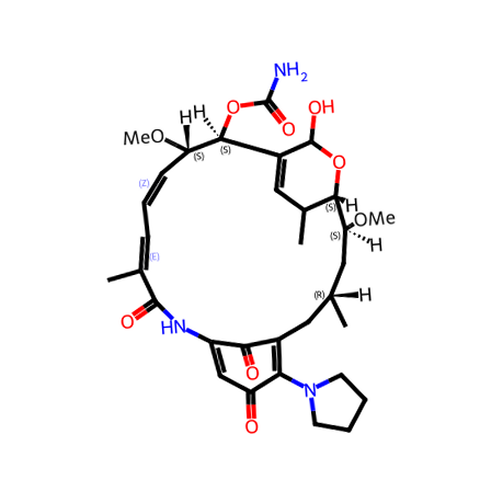 CO[C@H]1/C=C\C=C(/C)C(=O)NC2=CC(=O)C(N3CCCC3)=C(C[C@@H](C)C[C@H](OC)[C@H]3OC(O)C(=CC3C)[C@@H]1OC(N)=O)C2=O